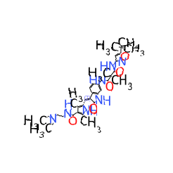 CCN(CC)CCNC(=O)c1c(C)[nH]c(/C=C2\C(=O)Nc3cc(NC(=O)C(C)(C)C(=O)Nc4cc(C(C)(C)C)on4)ccc32)c1C